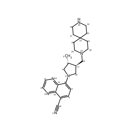 C[C@H]1CN(c2ccc(C#N)c3nccnc23)C[C@@H]1CN1CCC2(CCNCC2)CC1